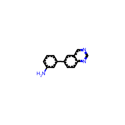 Nc1cccc(-c2ccc3ncncc3c2)c1